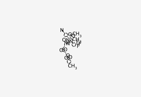 COC(=O)C1=C(C)N(c2cccc(C(F)(F)F)c2)c2nn(CCCS(=O)(=O)CCCOS(=O)(=O)c3ccc(C)cc3)c(=O)n2C1c1ccc(C#N)cc1